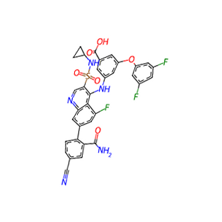 N#Cc1ccc(-c2cc(F)c3c(Nc4cc(Oc5cc(F)cc(F)c5)cc(C(=O)O)c4)c(S(=O)(=O)NC4CC4)cnc3c2)c(C(N)=O)c1